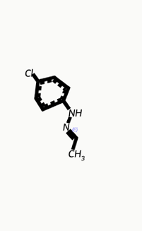 C/C=N/Nc1ccc(Cl)cc1